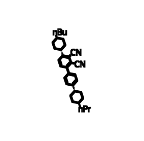 CCCC[C@H]1CC[C@H](c2ccc(-c3ccc([C@H]4CC[C@H](CCC)CC4)cc3)c(C#N)c2C#N)CC1